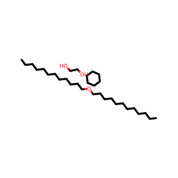 C1CCCCC1.CCCCCCCCCCCCOCCCCCCCCCCCC.OCCO